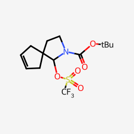 CC(C)(C)OC(=O)N1CCC2(CC=CC2)C1OS(=O)(=O)C(F)(F)F